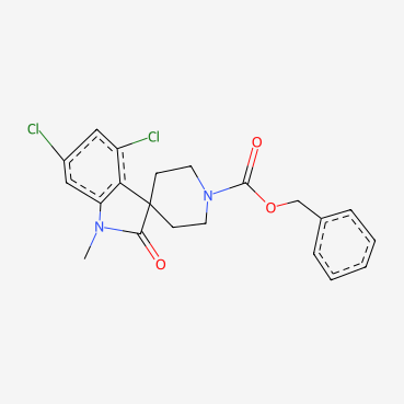 CN1C(=O)C2(CCN(C(=O)OCc3ccccc3)CC2)c2c(Cl)cc(Cl)cc21